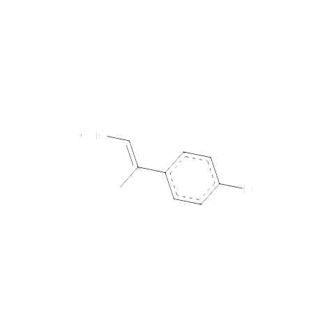 CCc1ccc(/C(C)=C/C=O)cc1